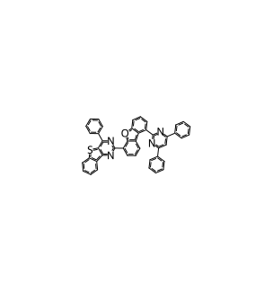 c1ccc(-c2cc(-c3ccccc3)nc(-c3cccc4oc5c(-c6nc(-c7ccccc7)c7sc8ccccc8c7n6)cccc5c34)n2)cc1